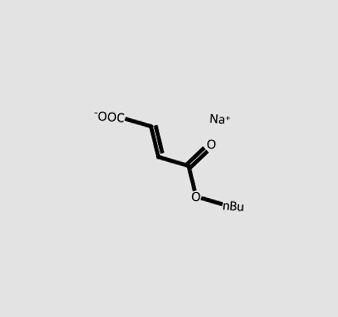 CCCCOC(=O)C=CC(=O)[O-].[Na+]